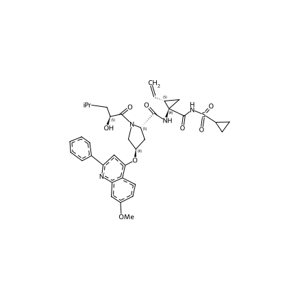 C=C[C@@H]1C[C@]1(NC(=O)[C@@H]1C[C@@H](Oc2cc(-c3ccccc3)nc3cc(OC)ccc23)CN1C(=O)[C@@H](O)CC(C)C)C(=O)NS(=O)(=O)C1CC1